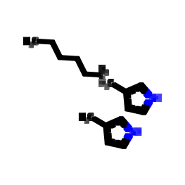 CCCCCC.Cc1cc[nH]c1.Cc1cc[nH]c1